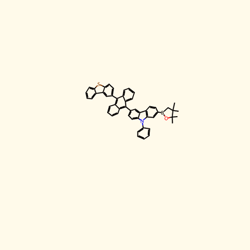 CC1(C)CB(c2ccc3c4cc(-c5c6ccccc6c(-c6ccc7sc8ccccc8c7c6)c6ccccc56)ccc4n(-c4ccccc4)c3c2)OC1(C)C